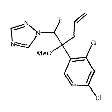 C=CCC(OC)(c1ccc(Cl)cc1Cl)C(F)n1cncn1